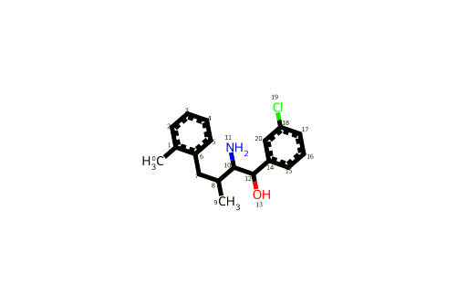 Cc1ccccc1CC(C)C(N)C(O)c1cccc(Cl)c1